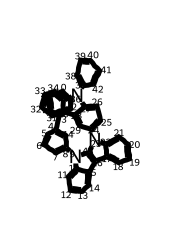 c1ccc(-c2cccc(-n3c4ccccc4c4c5ccccc5n(-c5ccc6c(c5)c5ccccc5n6-c5ccccc5)c43)c2)cc1